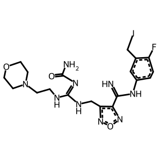 N=C(Nc1ccc(F)c(CI)c1)c1nonc1CNC(=NC(N)=O)NCCN1CCOCC1